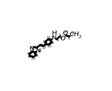 C=CC(=O)OCCNc1ccc(C=Cc2cnc3ccccc3n2)cc1